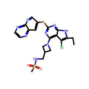 CCc1[nH]c2nc(Sc3cnc4nccnc4c3)nc(N3CC(CNS(C)(=O)=O)C3)c2c1Cl